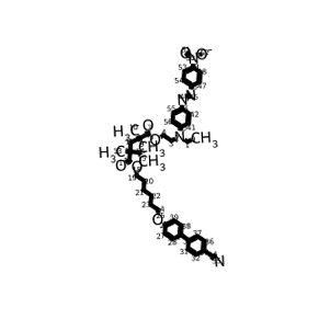 CCN(CCOC(=O)C(C)(C)CC(C)(CC)C(=O)OCCCCCCOc1ccc(-c2ccc(C#N)cc2)cc1)c1ccc(/N=N/c2ccc([N+](=O)[O-])cc2)cc1